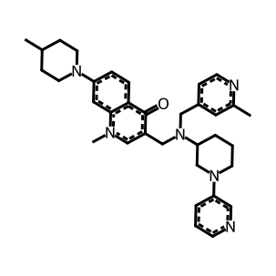 Cc1cc(CN(Cc2cn(C)c3cc(N4CCC(C)CC4)ccc3c2=O)C2CCCN(c3cccnc3)C2)ccn1